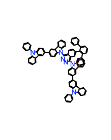 c1ccc(-c2cccc(-c3ccccc3)c2-c2ccc3c(-n4c5ccccc5c5cc(-c6ccc7c(c6)c6ccccc6n7-c6ccccc6)ccc54)nnc(-n4c5ccccc5c5cc(-c6ccc7c(c6)c6ccccc6n7-c6ccccc6)ccc54)c3c2)cc1